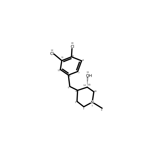 CN1CCC(Cc2ccc(Cl)c(Cl)c2)[C@H](O)C1